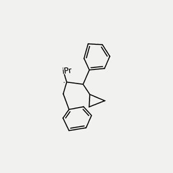 CC(C)[C](Cc1ccccc1)C(c1ccccc1)C1CC1